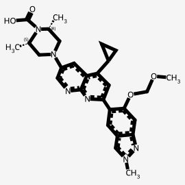 COCOc1cc2nn(C)cc2cc1-c1cc(C2CC2)c2cc(N3C[C@@H](C)N(C(=O)O)[C@@H](C)C3)cnc2n1